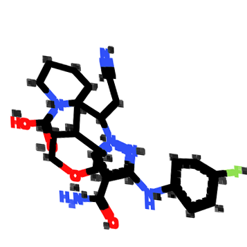 N#CCC(n1cc(C(N)=O)c(Nc2ccc(F)cc2)n1)C1(C2CCOCC2)CCCCN1C(=O)O